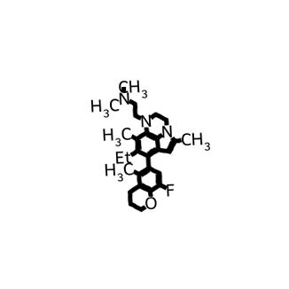 CCc1c(C)c2c3c(cc(C)n3CCN2CCN(C)C)c1-c1cc(F)c2c(c1C)CCCO2